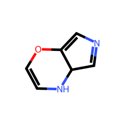 C1=COC2=CN=C[C]2N1